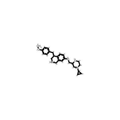 COc1ccc(CC2CNCc3cc(OCC4CN(C5CC5)CCO4)ccc32)cc1